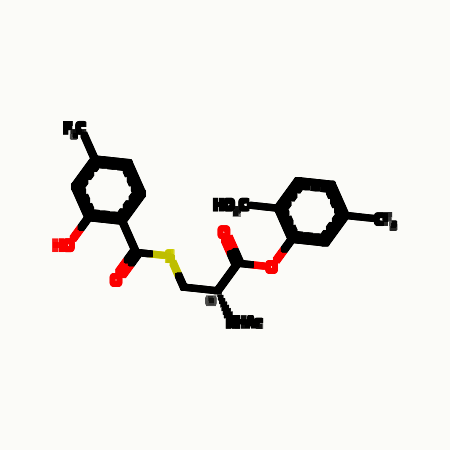 CC(=O)N[C@H](CSC(=O)c1ccc(C(F)(F)F)cc1O)C(=O)Oc1cc(C(F)(F)F)ccc1C(=O)O